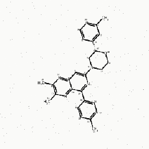 Cc1cc([C@H]2CN(c3cc4nc(C)c(C)nc4c(-c4ccc(C(F)(F)F)nc4)n3)CCO2)ccn1